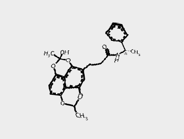 CC1Oc2ccc3c4c(c(CCC(=O)N[C@@H](C)c5ccccc5)cc(c24)O1)OC(C)(O)O3